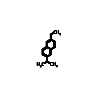 CCc1ccc2cc(C(C)C)ccc2c1